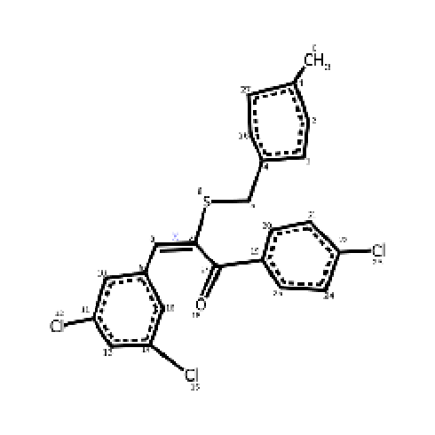 Cc1ccc(CS/C(=C/c2cc(Cl)cc(Cl)c2)C(=O)c2ccc(Cl)cc2)cc1